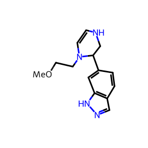 COCCN1C=CNCC1c1ccc2cn[nH]c2c1